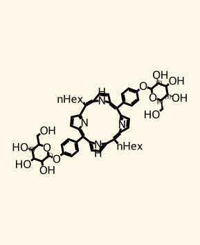 CCCCCCc1c2nc(c(-c3ccc(O[C@@H]4OC(CO)[C@H](O)C(O)C4O)cc3)c3ccc([nH]3)c(CCCCCC)c3nc(c(-c4ccc(OC5O[C@H](CO)[C@@H](O)C(O)[C@H]5O)cc4)c4ccc1[nH]4)C=C3)C=C2